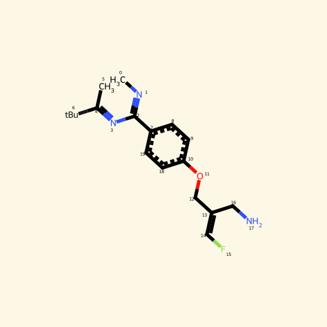 C/N=C(\N=C(/C)C(C)(C)C)c1ccc(OC/C(=C/F)CN)cc1